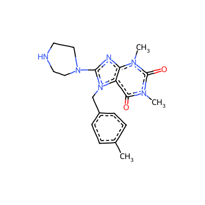 Cc1ccc(Cn2c(N3CCNCC3)nc3c2c(=O)n(C)c(=O)n3C)cc1